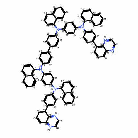 c1ccc2cccc(N(c3ccc(-c4ccc(N(c5ccc(N(c6ccc(-c7cccc8nccnc78)cc6)c6cccc7ccccc67)cc5)c5cccc6ccccc56)cc4)cc3)c3ccc(N(c4ccc(C5CC=Cc6nccnc65)cc4)c4cccc5ccccc45)cc3)c2c#1